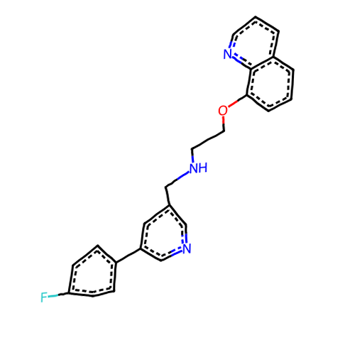 Fc1ccc(-c2cncc(CNCCOc3cccc4cccnc34)c2)cc1